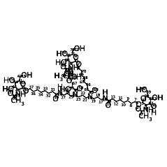 CC(=O)NC1[C@H](OCCCCCCCC(=O)NCCCN(CCCN(CCCNC(=O)CCCCCCCO[C@@H]2OC(CO)[C@H](O)[C@H](O)C2NC(C)=O)C(=O)C(O)COP(C)(C)=O)C(=O)CCCCCCCO[C@@H]2OC(CO)[C@H](O)[C@H](O)C2NC(C)=O)OC(CO)[C@H](O)[C@@H]1O